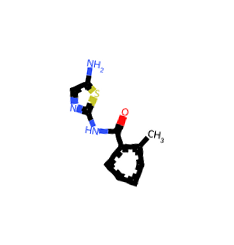 Cc1ccccc1C(=O)Nc1ncc(N)s1